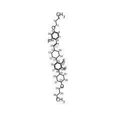 CCCCOc1ccc(/C=C/C2CCC(c3ccc(C4CCC(OCCCC)CC4)c(F)c3F)CC2)c(F)c1